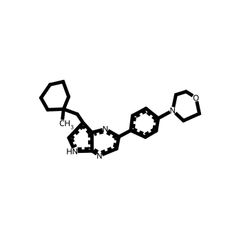 CC1(Cc2c[nH]c3ncc(-c4ccc(N5CCOCC5)cc4)nc23)CCCCC1